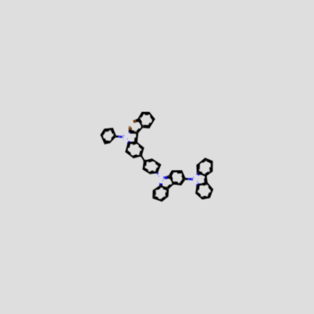 c1ccc(-n2c3ccc(-c4ccc(-n5c6ccccc6c6cc(-n7c8ccccc8c8ccccc87)ccc65)cc4)cc3c3c4ccccc4sc32)cc1